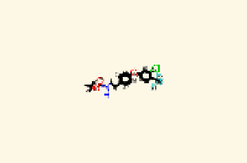 CC(C)(C)OC(=O)NCCc1ccc(Oc2ccc(C(F)(F)F)c(Cl)c2)cc1